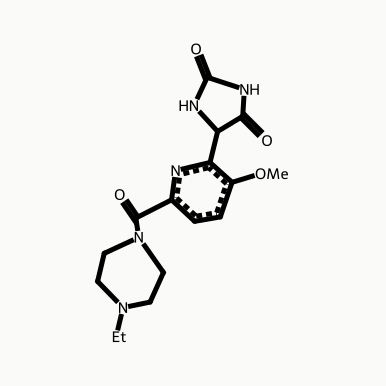 CCN1CCN(C(=O)c2ccc(OC)c(C3NC(=O)NC3=O)n2)CC1